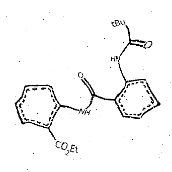 CCOC(=O)c1ccccc1NC(=O)c1ccccc1NC(=O)C(C)(C)C